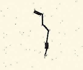 C=C[CH]CC#CBr